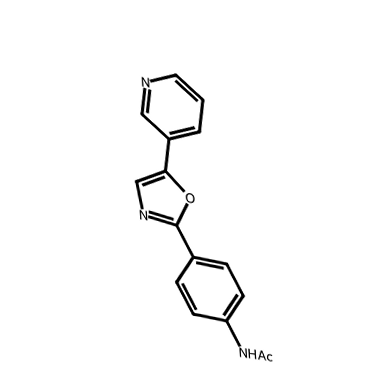 CC(=O)Nc1ccc(-c2ncc(-c3cccnc3)o2)cc1